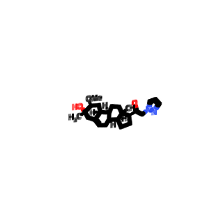 CO[C@H]1C[C@H]2C(=CC[C@@H]3[C@@H]2CC[C@]2(C)[C@@H](C(=O)Cn4cccn4)CC[C@@H]32)C[C@]1(C)O